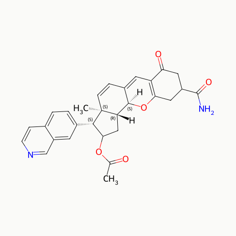 CC(=O)OC1C[C@H]2[C@@H]3OC4=C(C=C3C=C[C@]2(C)[C@H]1c1ccc2ccncc2c1)C(=O)CC(C(N)=O)C4